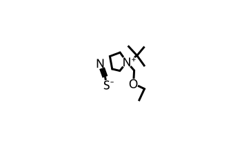 CCOC[N+]1(C(C)(C)C)CCCC1.N#C[S-]